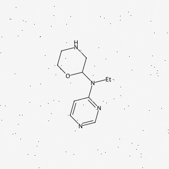 CCN(c1c[c]ncn1)C1CNCCO1